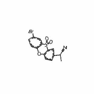 CC(C#N)c1ccc2c(c1)S(=O)(=O)c1cc(Br)ccc1O2